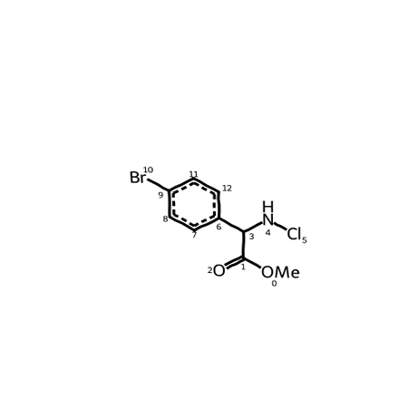 COC(=O)C(NCl)c1ccc(Br)cc1